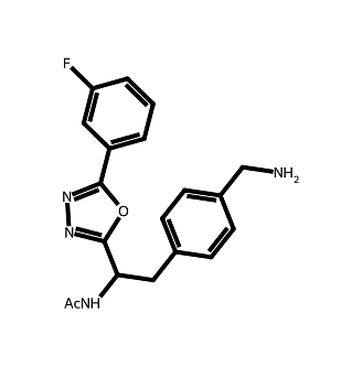 CC(=O)NC(Cc1ccc(CN)cc1)c1nnc(-c2cccc(F)c2)o1